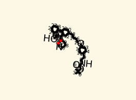 CC(C)(C)OC(=O)NCCc1ccc(OCCC=Cc2ccc(-c3ccccc3)c(N(C(=O)O)C3CN4CCC3CC4)c2)cc1